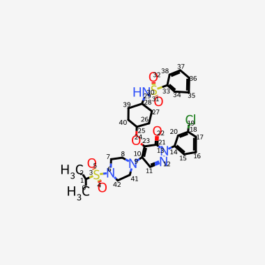 CC(C)S(=O)(=O)N1CCN(c2cnn(-c3cccc(Cl)c3)c(=O)c2OC2CCC(NS(=O)(=O)c3ccccc3)CC2)CC1